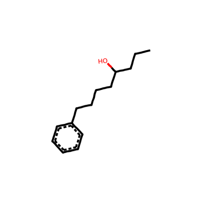 CCCC(O)CCCCc1ccccc1